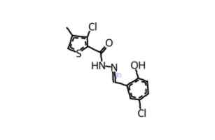 Cc1csc(C(=O)N/N=C/c2cc(Cl)ccc2O)c1Cl